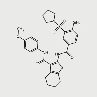 COc1ccc(NC(=O)c2c(NC(=O)c3ccc([SiH3])c(S(=O)(=O)N4CCCC4)c3)sc3c2CCCC3)cc1